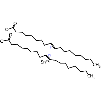 CCCCCCCC/C=C/CCCCCCCC(=O)[O-].CCCCCCCC/C=C/CCCCCCCC(=O)[O-].[Sn+2]